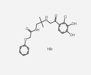 Br.CC(C)(CNC(=O)COc1ccccc1)NCC(=O)c1ccc(O)c(O)c1Cl